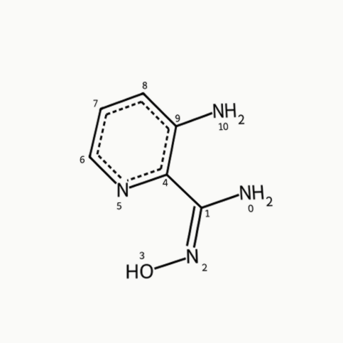 N/C(=N/O)c1ncccc1N